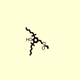 C=CC(=O)OCCc1cc(C(C)(C)CCCCC)c(O)c(C(C)(C)CCCCC)c1